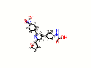 O=C(O)Nc1ccc(-c2cc(-c3ccc([N+](=O)[O-])cc3)nc(-c3ccco3)c2)cc1